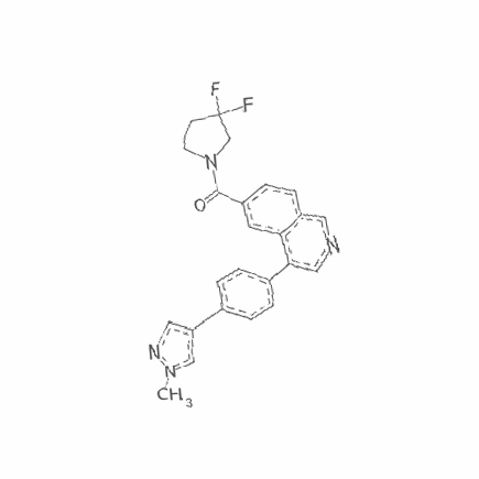 Cn1cc(-c2ccc(-c3cncc4ccc(C(=O)N5CCC(F)(F)C5)cc34)cc2)cn1